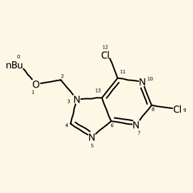 CCCCOCn1cnc2nc(Cl)nc(Cl)c21